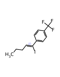 CCC/C=C(\I)c1ccc(C(F)(F)F)cc1